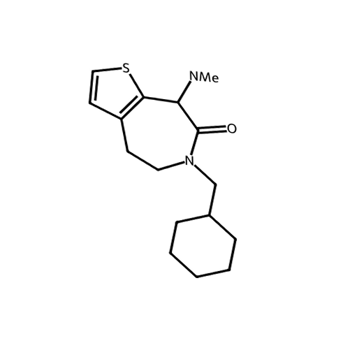 CNC1C(=O)N(CC2CCCCC2)CCc2ccsc21